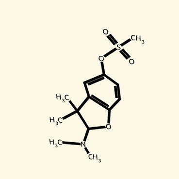 CN(C)C1Oc2ccc(OS(C)(=O)=O)cc2C1(C)C